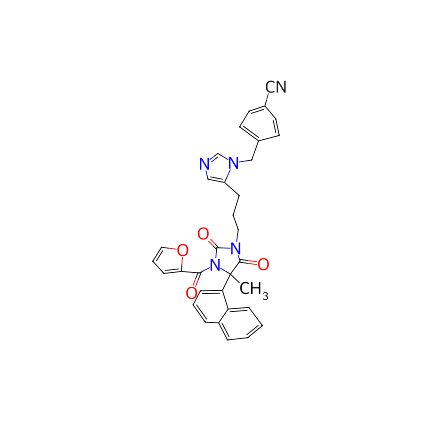 CC1(c2cccc3ccccc23)C(=O)N(CCCc2cncn2Cc2ccc(C#N)cc2)C(=O)N1C(=O)c1ccco1